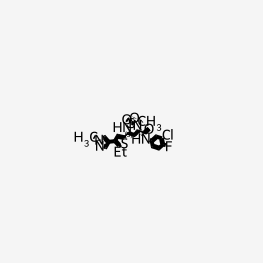 CCc1sc([C@@H]2C[C@H](C(=O)Nc3ccc(F)c(Cl)c3)N(C)S(=O)(=O)N2)cc1-c1cnn(C)c1